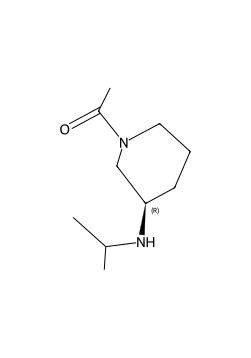 CC(=O)N1CCC[C@@H](NC(C)C)C1